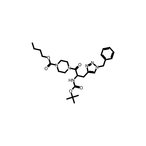 CCCCOC(=O)N1CCN(C(=O)C(Cc2cn(Cc3ccccc3)nn2)NC(=O)OC(C)(C)C)CC1